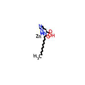 CCCCCCCCCCCC(=O)N[C@@H](Cc1cnc[nH]1)C(=O)O.[Zn]